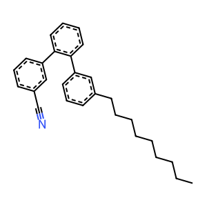 CCCCCCCCCc1cccc(-c2ccccc2-c2cccc(C#N)c2)c1